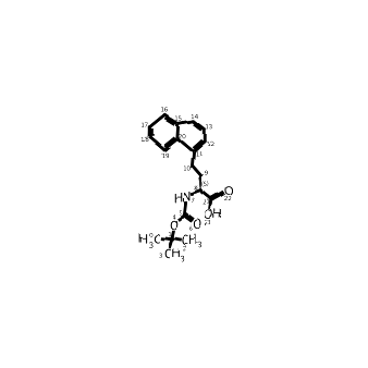 CC(C)(C)OC(=O)N[C@@H](CCc1cccc2ccccc12)C(=O)O